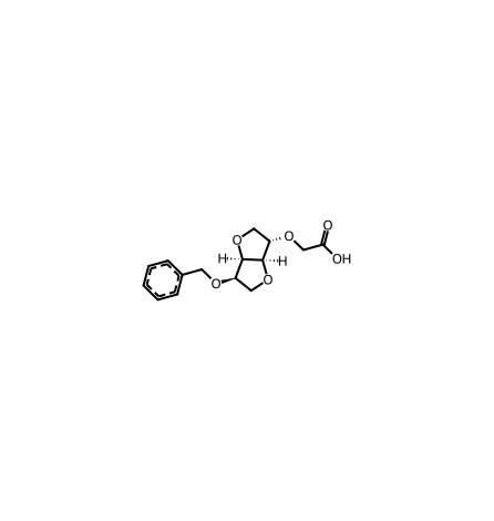 O=C(O)CO[C@H]1CO[C@H]2[C@@H]1OC[C@H]2OCc1ccccc1